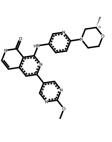 COc1ncc(-c2cc3c(c(Nc4ccc(N5CCO[C@@H](C)C5)nc4)n2)C(=O)[N]C=C3)cn1